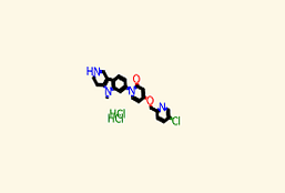 Cl.Cl.Cn1c2c(c3ccc(-n4ccc(OCc5ccc(Cl)cn5)cc4=O)cc31)CNCC2